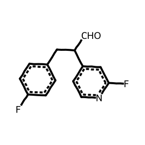 O=CC(Cc1ccc(F)cc1)c1ccnc(F)c1